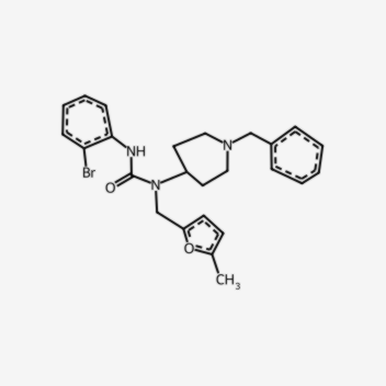 Cc1ccc(CN(C(=O)Nc2ccccc2Br)C2CCN(Cc3ccccc3)CC2)o1